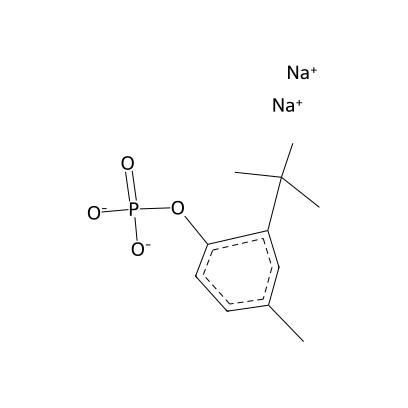 Cc1ccc(OP(=O)([O-])[O-])c(C(C)(C)C)c1.[Na+].[Na+]